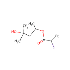 CCC(I)C(=O)OC(C)CC(C)(O)C(F)(F)F